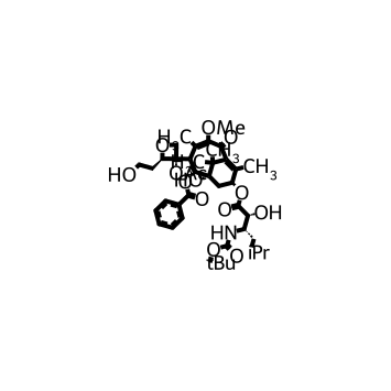 CO/C1=C(\C)C([C@]2(OC(C)=O)CO[C@@H]2CCO)[C@H](OC(=O)c2ccccc2)[C@]2(O)C[C@H](OC(=O)[C@H](O)[C@H](CC(C)C)NC(=O)OC(C)(C)C)C(C)=C(C1=O)C2(C)C